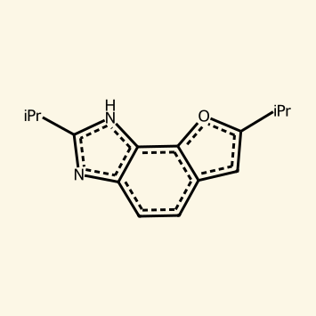 CC(C)c1nc2ccc3cc(C(C)C)oc3c2[nH]1